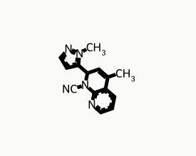 CC1=CC(c2ccnn2C)N(C#N)c2ncccc21